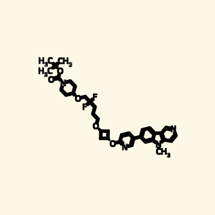 Cn1c2ccncc2c2ccc(-c3ccc(O[C@H]4C[C@H](OCCCC(F)(F)COC5CCN(C(=O)OC(C)(C)C)CC5)C4)nc3)cc21